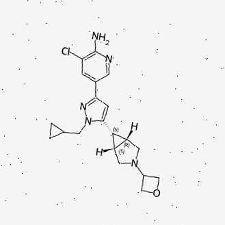 Nc1ncc(-c2cc([C@@H]3[C@@H]4CN(C5COC5)C[C@@H]43)n(CC3CC3)n2)cc1Cl